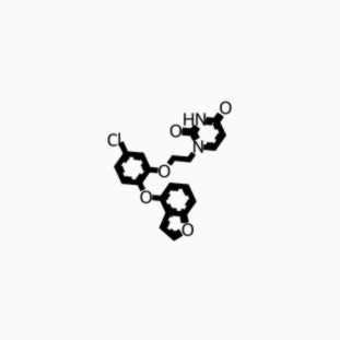 O=c1ccn(CCOc2cc(Cl)ccc2Oc2cccc3occc23)c(=O)[nH]1